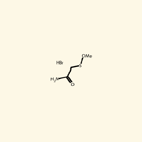 Br.COSCC(N)=O